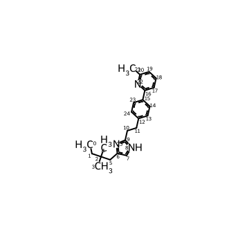 CCC(C)(C)Cc1c[nH]c(CCc2ccc(-c3cccc(C)n3)cc2)n1